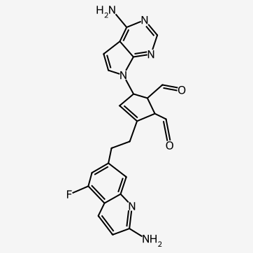 Nc1ccc2c(F)cc(CCC3=CC(n4ccc5c(N)ncnc54)C(C=O)C3C=O)cc2n1